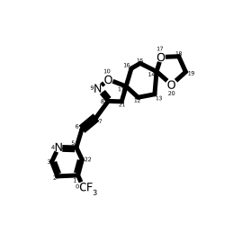 FC(F)(F)c1ccnc(C#CC2=NOC3(CCC4(CC3)OCCO4)C2)c1